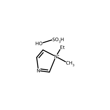 CC[N+]1(C)C=CN=C1.O=S(=O)(O)O